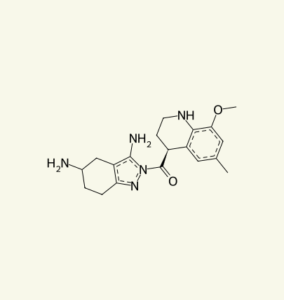 COc1cc(C)cc2c1NCC[C@@H]2C(=O)n1nc2c(c1N)CC(N)CC2